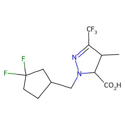 CC1C(C(F)(F)F)=NN(CC2CCC(F)(F)C2)C1C(=O)O